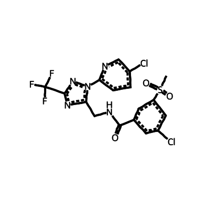 CS(=O)(=O)c1cc(Cl)cc(C(=O)NCc2nc(C(F)(F)F)nn2-c2ccc(Cl)cn2)c1